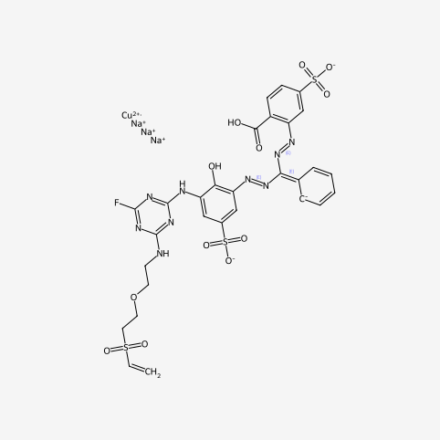 C=CS(=O)(=O)CCOCCNc1nc(F)nc(Nc2cc(S(=O)(=O)[O-])cc(/N=N/C(/N=N/c3cc(S(=O)(=O)[O-])ccc3C(=O)O)=C3/C=CC=C[CH-]3)c2O)n1.[Cu+2].[Na+].[Na+].[Na+]